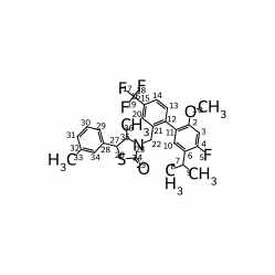 COc1cc(F)c(C(C)C)cc1-c1ccc(C(F)(F)F)cc1CN1C(=O)SC(c2cccc(C)c2)C1C